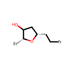 CC[C@H]1O[C@@H](C[CH2][Fr])CC1O